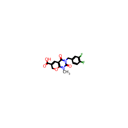 Cn1c2c(c(=O)n(Cc3ccc(F)c(F)c3)c1=O)C=C(C(=O)O)CO2